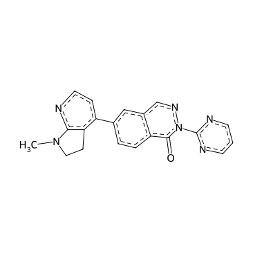 CN1CCc2c(-c3ccc4c(=O)n(-c5ncccn5)ncc4c3)ccnc21